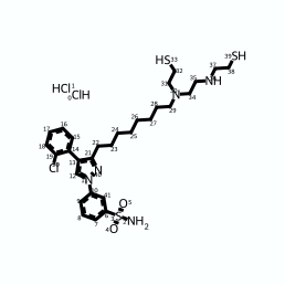 Cl.Cl.NS(=O)(=O)c1cccc(-n2cc(-c3ccccc3Cl)c(CCCCCCCCN(CCS)CCNCCS)n2)c1